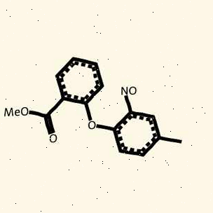 COC(=O)c1ccccc1Oc1ccc(C)cc1N=O